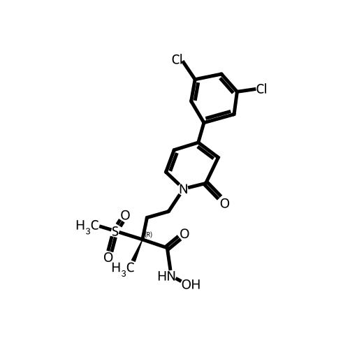 C[C@@](CCn1ccc(-c2cc(Cl)cc(Cl)c2)cc1=O)(C(=O)NO)S(C)(=O)=O